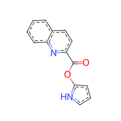 O=C(Oc1ccc[nH]1)c1ccc2ccccc2n1